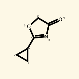 O=C1COC(C2CC2)=N1